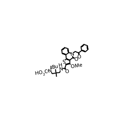 COc1c(C(=O)NCC(C)(C)CN(C(=O)O)C(C)(C)C)sc2c1c(=O)n(CC(=O)c1ccccc1)c1ccccc21